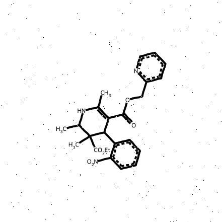 CCOC(=O)C1(C)C(C)NC(C)=C(C(=O)OCc2ccccn2)C1c1ccccc1[N+](=O)[O-]